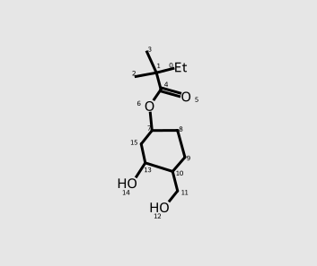 CCC(C)(C)C(=O)OC1CCC(CO)C(O)C1